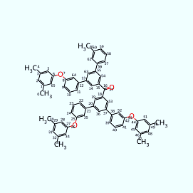 Cc1cc(C)cc(Oc2cccc(-c3cc(C(=O)c4cc(-c5cccc(Oc6cc(C)cc(C)c6)c5)cc(-c5cccc(Oc6cc(C)cc(C)c6)c5)c4)cc(-c4cccc(C)c4)c3)c2)c1